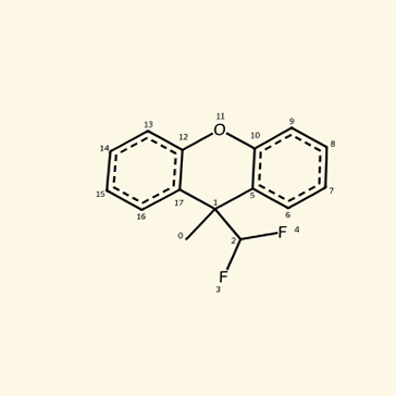 CC1(C(F)F)c2ccccc2Oc2ccccc21